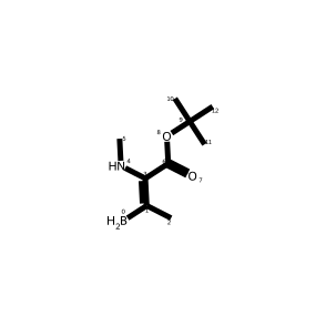 B/C(C)=C(\NC)C(=O)OC(C)(C)C